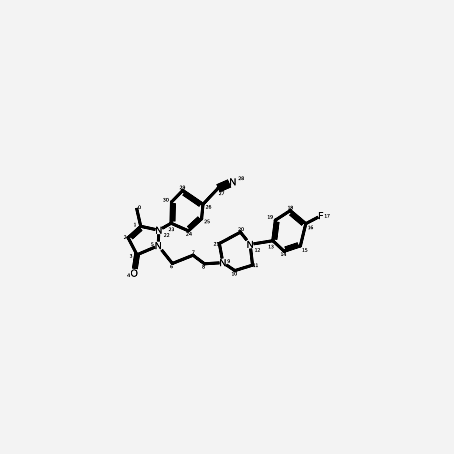 Cc1cc(=O)n(CCCN2CCN(c3ccc(F)cc3)CC2)n1-c1ccc(C#N)cc1